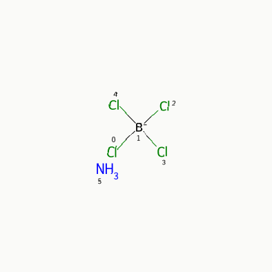 Cl[B-](Cl)(Cl)Cl.N